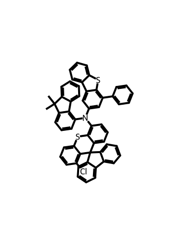 CC1(C)c2ccccc2-c2c(N(c3cc(-c4ccccc4)c4sc5ccccc5c4c3)c3cccc4c3Sc3cccc(Cl)c3C43c4ccccc4-c4ccccc43)cccc21